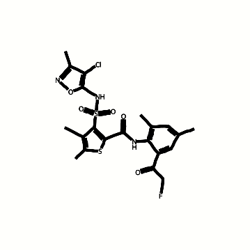 Cc1cc(C)c(NC(=O)c2sc(C)c(C)c2S(=O)(=O)Nc2onc(C)c2Cl)c(C(=O)CF)c1